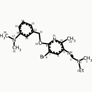 CCN(C)/C=N/c1cc(Br)c(OCc2cccc(N(C)C)c2)nc1C